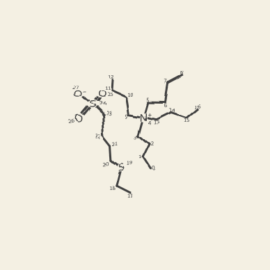 CCCC[N+](CCCC)(CCCC)CCCC.CCSCCCCS(=O)(=O)[O-]